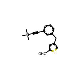 C[Si](C)(C)C#Cc1cccc(Cc2csc(C=O)c2)c1